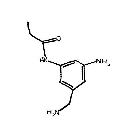 CCC(=O)Nc1cc(N)cc(CN)c1